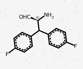 N[C@H](C=O)C(c1ccc(F)cc1)c1ccc(F)cc1